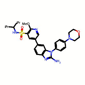 COc1ncc(-c2ccc3nc(N)n(-c4ccc(N5CCOCC5)cc4)c3c2)cc1S(=O)(=O)NC(C(C)C)C(C)C